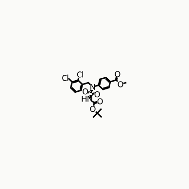 COC(=O)c1ccc(N(Cc2cccc(Cl)c2Cl)S(=O)(=O)NC(=O)OC(C)(C)C)cc1